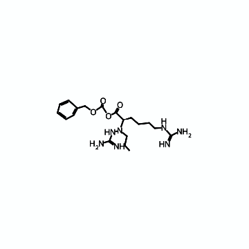 CCCN(NC(=N)N)[C@H](CCCCNC(=N)N)C(=O)OC(=O)OCc1ccccc1